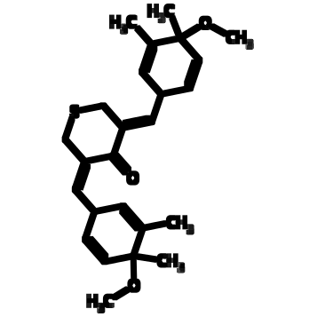 COC1(C)C=CC(/C=C2\CSC/C(=C/C3C=CC(C)(OC)C(C)=C3)C2=O)C=C1C